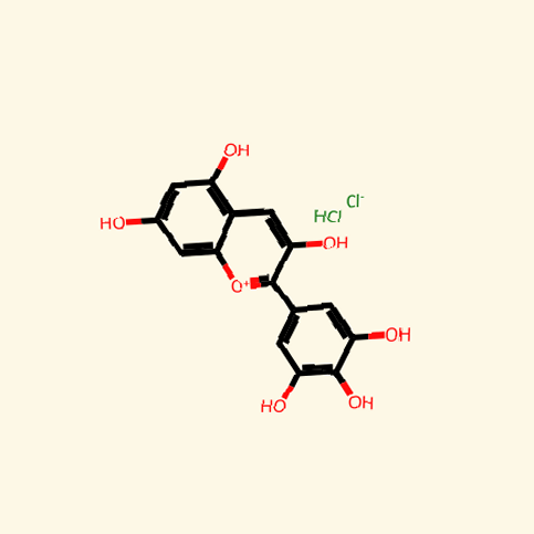 Cl.Oc1cc(O)c2cc(O)c(-c3cc(O)c(O)c(O)c3)[o+]c2c1.[Cl-]